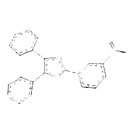 O=[N+]([O-])c1cccc(-c2nc(-c3ccncc3)c(-c3ccccc3)[nH]2)c1